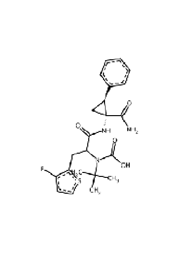 CC(C)(C)N(C(=O)O)C(Cc1sccc1F)C(=O)N[C@]1(C(N)=O)C[C@H]1c1ccccc1